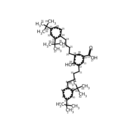 CC(C)(C)c1ccc(CCCCc2cc(C(=O)O)cc(CCCCc3ccc(C(C)(C)C)cc3C(C)(C)C)c2O)c(C(C)(C)C)c1